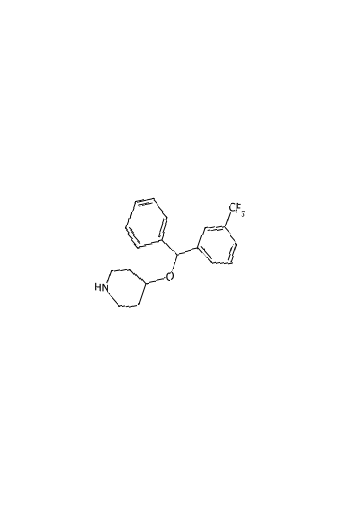 FC(F)(F)c1cccc(C(OC2CCNCC2)c2ccccc2)c1